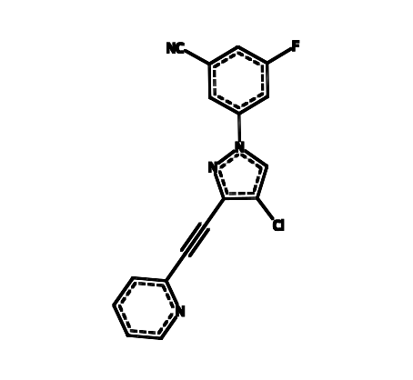 N#Cc1cc(F)cc(-n2cc(Cl)c(C#Cc3ccccn3)n2)c1